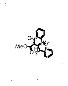 COC(=O)c1c(C(S)c2ccccn2)[n+]([O-])c2ccccc2[n+]1[O-]